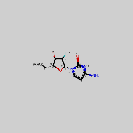 COC[C@H]1O[C@@H](n2ccc(N)nc2=O)C(F)C1O